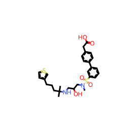 CN(CC(O)CNC(C)(C)CCCc1ccsc1)S(=O)(=O)c1cccc(-c2ccc(CC(=O)O)cc2)c1